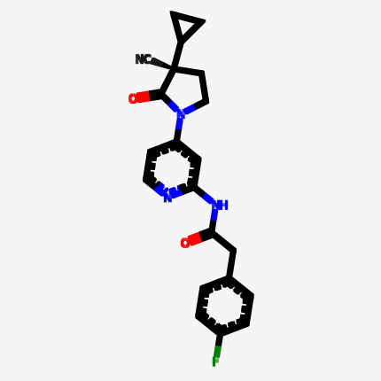 N#C[C@@]1(C2CC2)CCN(c2ccnc(NC(=O)Cc3ccc(F)cc3)c2)C1=O